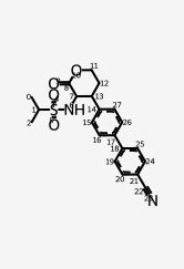 CC(C)S(=O)(=O)NC1C(=O)OCCC1c1ccc(-c2ccc(C#N)cc2)cc1